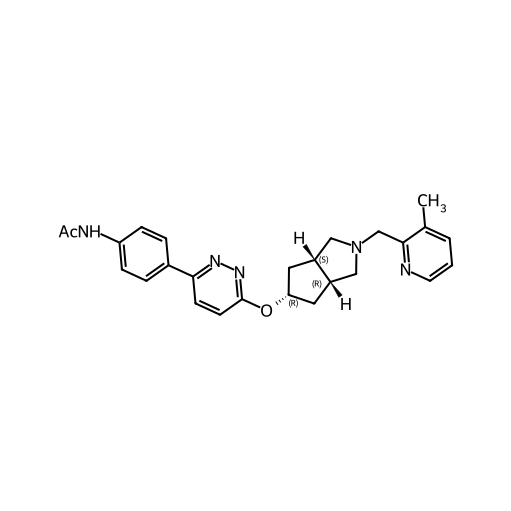 CC(=O)Nc1ccc(-c2ccc(O[C@@H]3C[C@@H]4CN(Cc5ncccc5C)C[C@@H]4C3)nn2)cc1